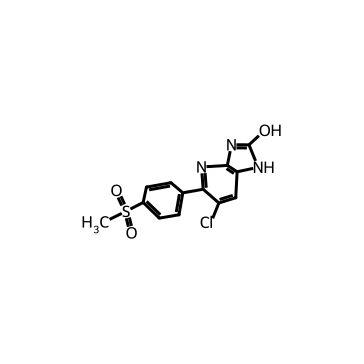 CS(=O)(=O)c1ccc(-c2nc3nc(O)[nH]c3cc2Cl)cc1